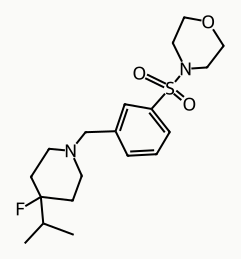 CC(C)C1(F)CCN(Cc2cccc(S(=O)(=O)N3CCOCC3)c2)CC1